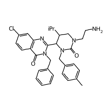 Cc1ccc(CN2C(=O)N(CCN)CC(C(C)C)C2c2nc3cc(Cl)ccc3c(=O)n2Cc2ccccc2)cc1